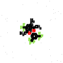 Cc1cc([B-](OC(C)C)(OC(C)C)c2cc(C(F)(F)F)cc(C(F)(F)F)c2)cc(C(F)(F)F)c1